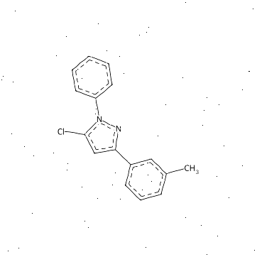 Cc1cccc(-c2cc(Cl)n(-c3ccccc3)n2)c1